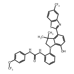 CC1(C)CN(c2ccccc2NC(=O)Nc2ccc(OC(F)(F)F)cc2)c2c(O)ccc(-c3nc4cc(C(F)(F)F)ccc4s3)c21